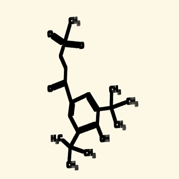 CC(C)(C)c1cc(C(=O)CCS(C)(=O)=O)cc(C(C)(C)C)c1O